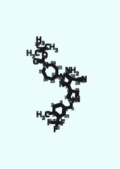 Cc1ccc(Cn2cc(-c3nn([C@H]4CCCN(C(=O)OC(C)(C)C)CC4)c(N)c3C#N)cn2)cc1C(F)(F)F